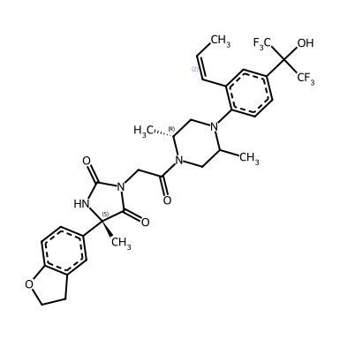 C/C=C\c1cc(C(O)(C(F)(F)F)C(F)(F)F)ccc1N1C[C@@H](C)N(C(=O)CN2C(=O)N[C@@](C)(c3ccc4c(c3)CCO4)C2=O)CC1C